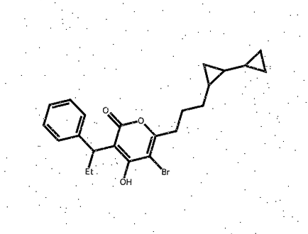 CCC(c1ccccc1)c1c(O)c(Br)c(CCCC2CC2C2CC2)oc1=O